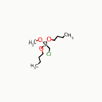 CCCCO[Si](CCl)(OC)OCCCC